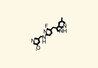 COc1cncc(CNc2ccc(Cc3c[nH]c4ncc(C)cc34)c(F)n2)c1